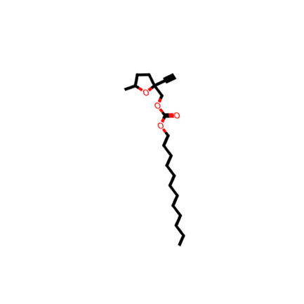 C#CC1(COC(=O)OCCCCCCCCCCCC)CCC(C)O1